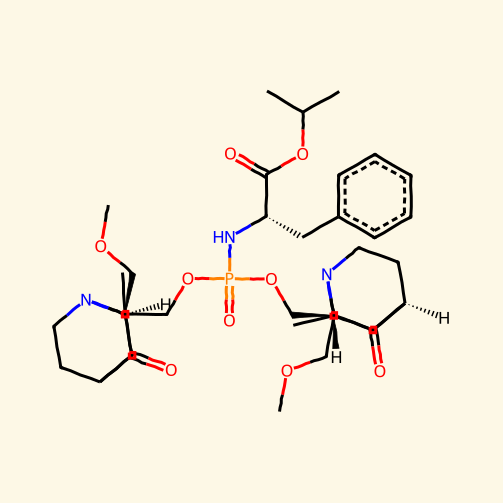 COC[C@@]1(COP(=O)(N[C@@H](Cc2ccccc2)C(=O)OC(C)C)OC[C@]2(COC)C(=O)[C@@H]3CCN2[C@@H](C)C3)C(=O)C2CCN1[C@@H](C)C2